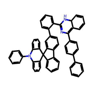 C1=CC2=C(c3ccc(-c4ccccc4)cc3)N=C(c3ccccc3-c3ccc4c(c3)C3(c5ccccc5-4)c4ccccc4N(c4ccccc4)c4ccccc43)NC2C=C1